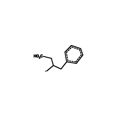 [CH2]C(CC(=O)O)Cc1ccccc1